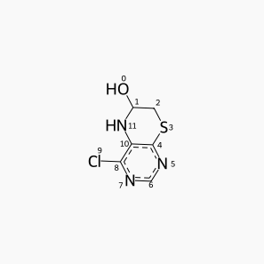 OC1CSc2ncnc(Cl)c2N1